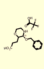 O=C(O)C(F)(F)F.O=C(O)CCC1OCCN[C@H]1OCc1ccccc1